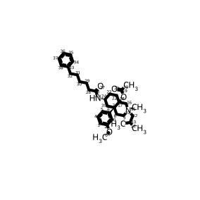 COc1cccc([C@]23CC[N@@+](C)(CC(C)C)CC2(OC(C)=O)CC[C@@H](NC(=O)CCCCCc2ccccc2)C3)c1